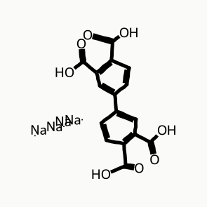 O=C(O)c1ccc(-c2ccc(C(=O)O)c(C(=O)O)c2)cc1C(=O)O.[Na].[Na].[Na].[Na]